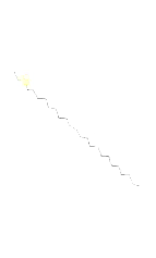 CCCCCCCCCCCCCCCCCCCCC[CH]SCC